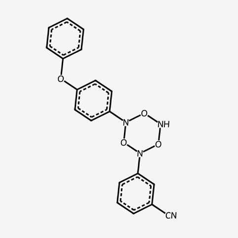 N#Cc1cccc(N2ONON(c3ccc(Oc4ccccc4)cc3)O2)c1